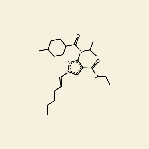 CCCCC=Cn1cc(C(=O)OCC)c(N(C(=O)C2CCC(C)CC2)C(C)C)n1